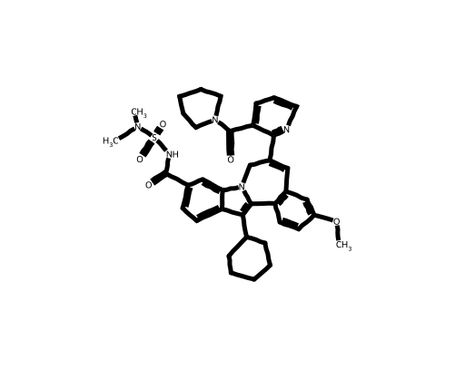 COc1ccc2c(c1)C=C(c1ncccc1C(=O)N1CCCCC1)Cn1c-2c(C2CCCCC2)c2ccc(C(=O)NS(=O)(=O)N(C)C)cc21